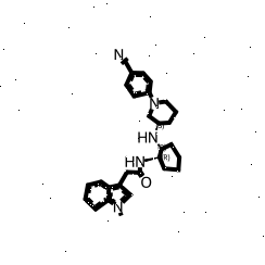 Cn1cc(CC(=O)N[C@@H]2CCCC[C@H]2N[C@H]2CCCN(c3ccc(C#N)cc3)C2)c2ccccc21